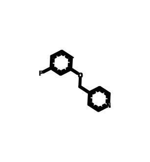 Fc1cc[c]c(OCc2ccncc2)c1